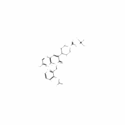 Cc1cnc2cc(C3CCN(C(=O)OC(C)(C)C)CC3)c(=O)n(Cc3ncccc3OC(F)F)c2n1